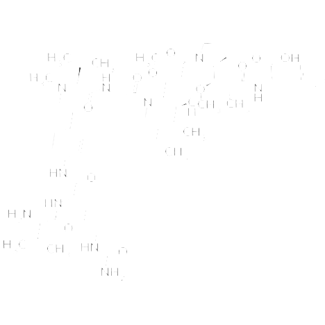 CCCCN(C(=O)CNC(=O)[C@H](C(C)C)N(C)CCC1C=CC(NC(=O)[C@H](CCCNC(N)=O)NC(=O)C(N)C(C)C)=CC1)[C@@H]([C@@H](C)CC)[C@@H](CC(=O)N1CCC[C@H]1[C@H](OC)[C@@H](C)C(=O)N[C@@H](Cc1ccccc1)C(=O)O)OC